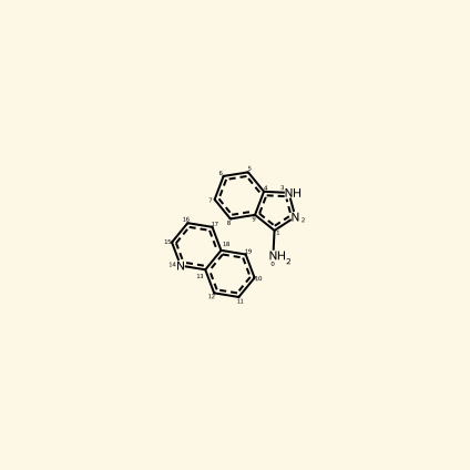 Nc1n[nH]c2ccccc12.c1ccc2ncccc2c1